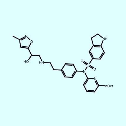 CCCCCCCCc1cccc(N(c2ccc(CCNCC(O)c3cc(C)no3)cc2)S(=O)(=O)c2ccc3c(c2)CCN3)n1